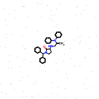 C=C(CNC1CCN(C(c2ccccc2)c2ccccc2)C1=O)N(c1ccccc1)c1ccccc1